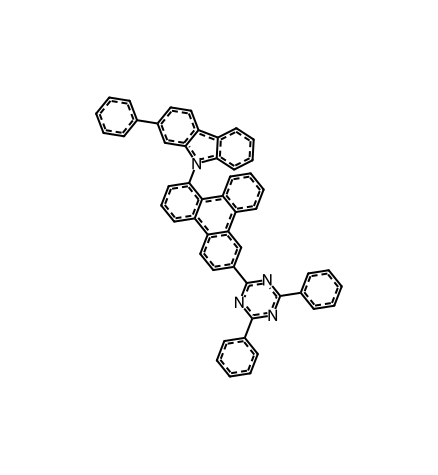 c1ccc(-c2ccc3c4ccccc4n(-c4cccc5c6ccc(-c7nc(-c8ccccc8)nc(-c8ccccc8)n7)cc6c6ccccc6c45)c3c2)cc1